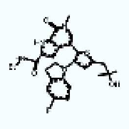 CCNC(=O)c1cc2c(-c3sc(CC(C)(C)O)cc3N3CCc4cc(F)ccc43)cn(C)c(=O)c2[nH]1